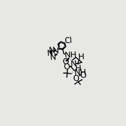 CC(C)(C)C[C@@H](NC(=O)OC(C)(C)C)C(=O)N1[C@H](C(=O)NCc2cc(Cl)ccc2-n2cnnn2)C[C@@H]2C[C@@H]21